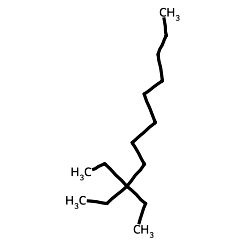 CCCCCCCCC(CC)(CC)CC